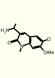 COc1cc2c(cc1Cl)cc(C(C)N)c(=O)n2C